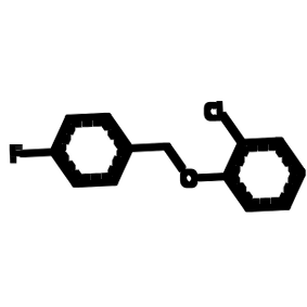 Fc1ccc(COc2cc[c]cc2Cl)cc1